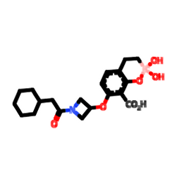 O=C(O)c1c(OC2CN(C(=O)CC3CCCCC3)C2)ccc2c1O[B-](O)(O)CC2